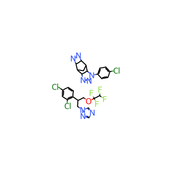 Clc1ccc(N2N=NC3C4CC(C5N=NC45)C32)cc1.FC(F)C(F)(F)OCC(Cn1cncn1)c1ccc(Cl)cc1Cl